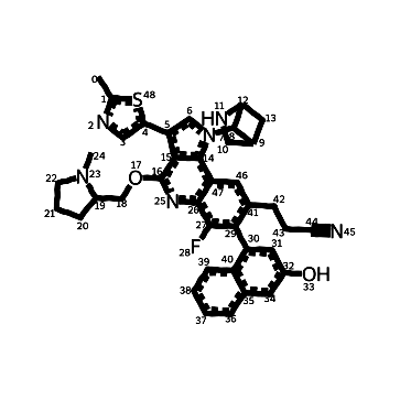 Cc1ncc(-c2cn(C3C4CNC3C4)c3c2c(OCC2CCCN2C)nc2c(F)c(-c4cc(O)cc5ccccc45)c(CCC#N)cc23)s1